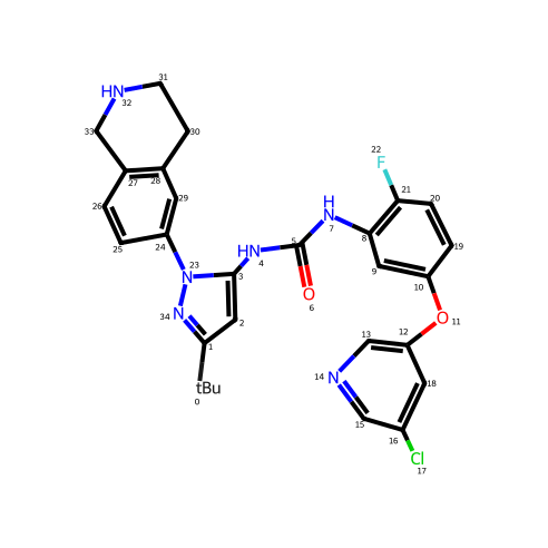 CC(C)(C)c1cc(NC(=O)Nc2cc(Oc3cncc(Cl)c3)ccc2F)n(-c2ccc3c(c2)CCNC3)n1